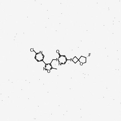 Cc1onc(-c2ccc(Cl)nc2)c1Cn1ncc(N2CC3(C[C@H](F)CO3)C2)cc1=O